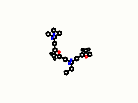 c1ccc(-c2cccc(-c3cc(-c4ccc(-c5ccc6c(c5)Oc5ccccc5C65c6ccccc6-c6ccccc65)cc4)nc(-c4ccc(-c5ccc6c(c5)Oc5cc(-c7ccc(-c8cc(-c9ccccc9-c9ccccc9)nc(-c9ccccc9)n8)cc7)ccc5C65c6ccccc6-c6ccccc65)cc4)n3)c2)cc1